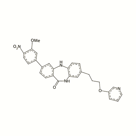 COc1cc(-c2ccc3c(c2)Nc2ccc(CCCOc4cccnc4)cc2NC3=O)ccc1[N+](=O)[O-]